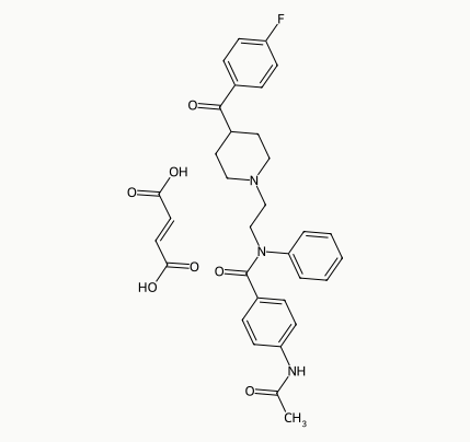 CC(=O)Nc1ccc(C(=O)N(CCN2CCC(C(=O)c3ccc(F)cc3)CC2)c2ccccc2)cc1.O=C(O)/C=C/C(=O)O